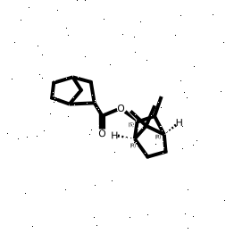 CC1[C@H]2CC[C@@H]([C@H]1OC(=O)C1CC3CCC1C3)C2(C)C